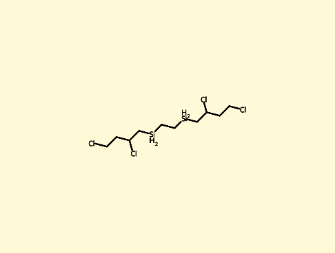 ClCCC(Cl)C[SiH2]CC[SiH2]CC(Cl)CCCl